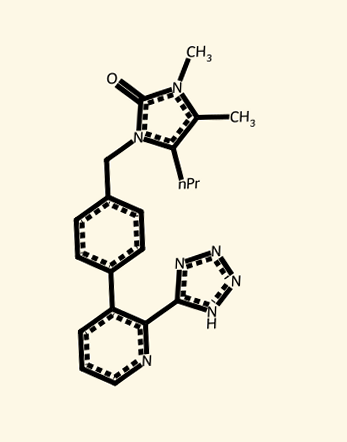 CCCc1c(C)n(C)c(=O)n1Cc1ccc(-c2cccnc2-c2nnn[nH]2)cc1